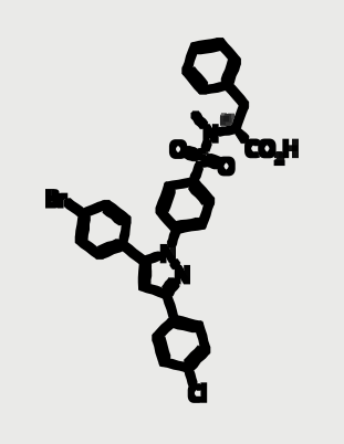 CN([C@@H](Cc1ccccc1)C(=O)O)S(=O)(=O)c1ccc(-n2nc(-c3ccc(Cl)cc3)cc2-c2ccc(Br)cc2)cc1